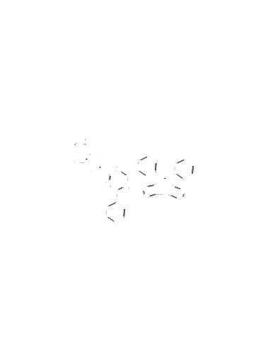 C[C@H]1C2CCC3CC(c4nc(-c5ccccc5)nc(-c5ccc6c(c5)C5(c7ccccc7O6)c6ccccc6-c6ccccc65)n4)(C2)C[C@@H]31